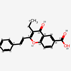 CCc1c(C=Cc2ccccc2)oc2ccc(C(=O)O)cc2c1=O